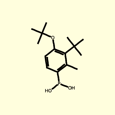 Cc1c(P(O)O)ccc(OC(C)(C)C)c1C(C)(C)C